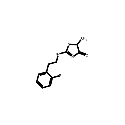 CC1SC(NCCc2ccccc2F)=NC1=O